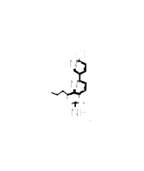 CCCc1nc(N)nc2ccc(-c3ccc(Cl)nc3)nc12